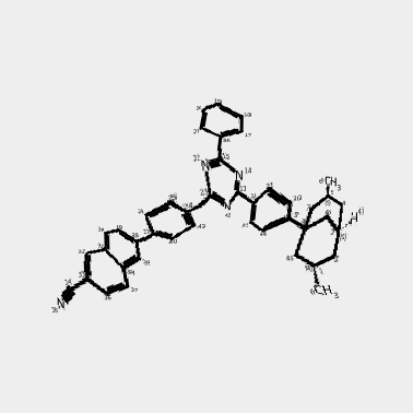 C[C@@H]1C[C@@H]2C[C@H](C)CC(c3ccc(-c4nc(-c5ccccc5)nc(-c5ccc(-c6ccc7cc(C#N)ccc7c6)cc5)n4)cc3)(C1)C2